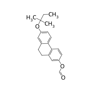 CCC(C)(C)Oc1ccc2c(c1)CCc1cc(OC=O)ccc1-2